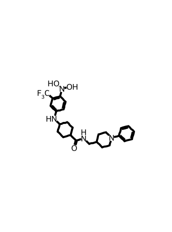 O=C(NCC1CCN(c2ccccc2)CC1)C1CCC(Nc2ccc(N(O)O)c(C(F)(F)F)c2)CC1